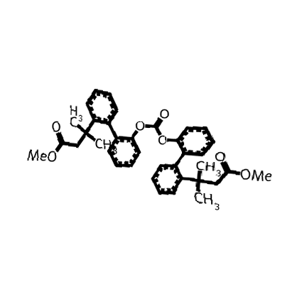 COC(=O)CC(C)(C)c1ccccc1-c1ccccc1OC(=O)Oc1ccccc1-c1ccccc1C(C)(C)CC(=O)OC